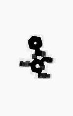 CO[C@H]1C[C@@H](OC(C)=O)[C@H](OC(=O)c2ccccc2)[C@@H](CBr)O1